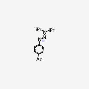 CC(=O)c1ccc(/N=N/N(C(C)C)C(C)C)cc1